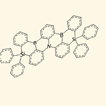 c1ccc([Si]2(c3ccccc3)c3ccccc3B3c4cccc5c4N(c4cccc2c43)c2cccc3c2B5c2ccccc2[Si]3(c2ccccc2)c2ccccc2)cc1